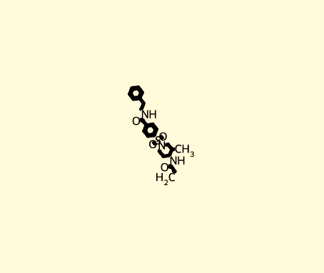 C=CC(=O)NC1CCN(S(=O)(=O)c2ccc(C(=O)NCCc3ccccc3)cc2)CC1C